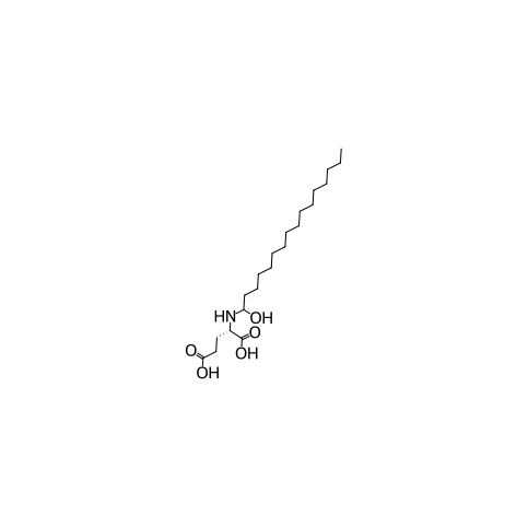 CCCCCCCCCCCCCCCC(O)N[C@@H](CCC(=O)O)C(=O)O